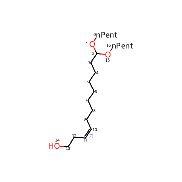 CCCCCOC(CCCCCCC/C=C\CCO)OCCCCC